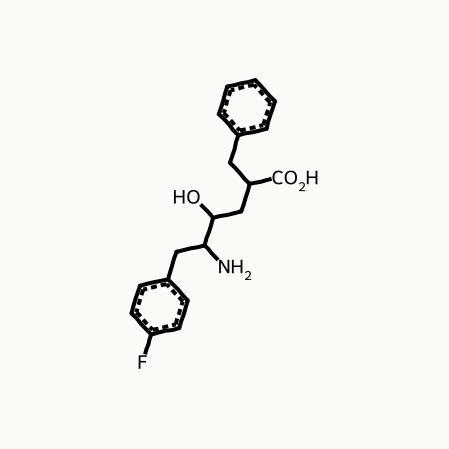 NC(Cc1ccc(F)cc1)C(O)CC(Cc1ccccc1)C(=O)O